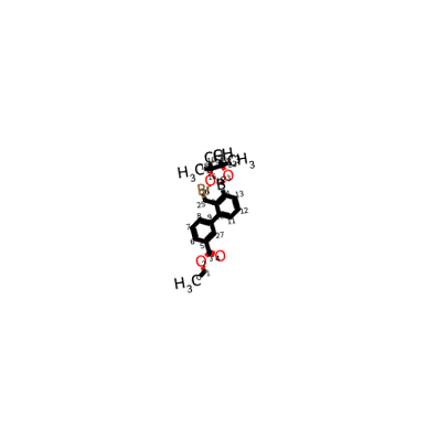 CCOC(=O)c1cccc(-c2cccc(B3OC(C)(C)C(C)(C)O3)c2CBr)c1